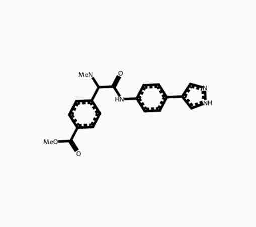 CNC(C(=O)Nc1ccc(-c2cn[nH]c2)cc1)c1ccc(C(=O)OC)cc1